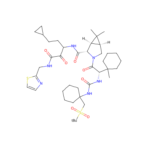 CC1([C@H](NC(=O)NC2(CS(=O)(=O)C(C)(C)C)CCCCC2)C(=O)N2C[C@H]3[C@@H]([C@H]2C(=O)NC(CCC2CC2)C(=O)C(=O)NCc2nccs2)C3(C)C)CCCCC1